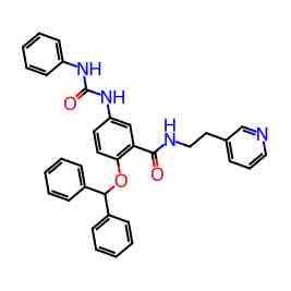 O=C(Nc1ccccc1)Nc1ccc(OC(c2ccccc2)c2ccccc2)c(C(=O)NCCc2cccnc2)c1